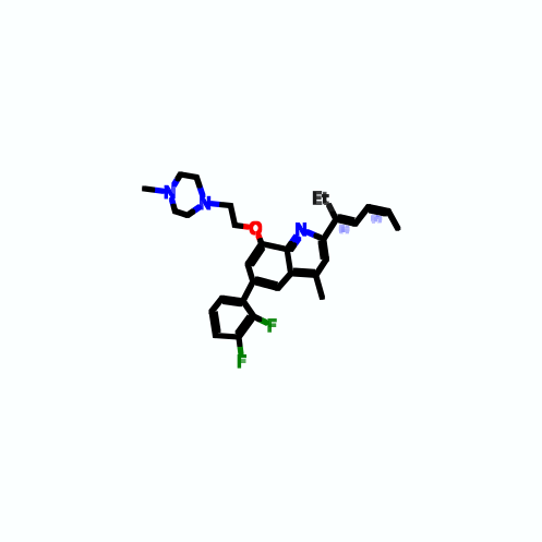 C/C=C\C=C(/CC)c1cc(C)c2cc(-c3cccc(F)c3F)cc(OCCN3CCN(C)CC3)c2n1